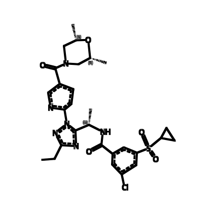 CCc1nc([C@H](C)NC(=O)c2cc(Cl)cc(S(=O)(=O)C3CC3)c2)n(-c2ccc(C(=O)N3C[C@@H](C)O[C@@H](C)C3)cn2)n1